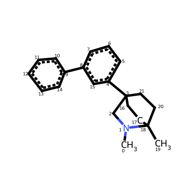 CN1CC2(c3cccc(-c4ccccc4)c3)CCC1(C)CC2